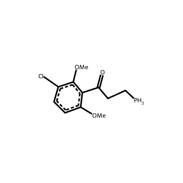 COc1ccc(Cl)c(OC)c1C(=O)CCP